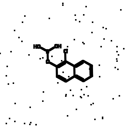 OB(O)Oc1ccc2ccccc2c1Cl